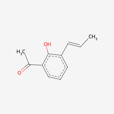 CC=Cc1cccc(C(C)=O)c1O